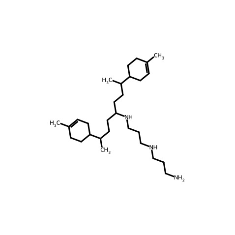 CC1=CCC(C(C)CCC(CCC(C)C2CC=C(C)CC2)NCCCNCCCN)CC1